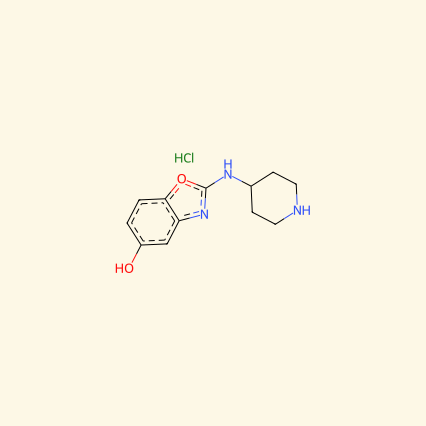 Cl.Oc1ccc2oc(NC3CCNCC3)nc2c1